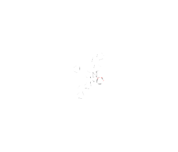 C1=CC(N(c2ccccc2)c2ccc3c(ccc4ccccc43)c2)(N(c2ccccc2)c2ccc3c(ccc4ccccc43)c2)C=CC1c1ccccc1